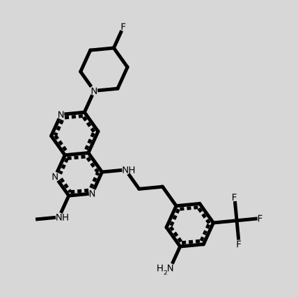 CNc1nc(NCCc2cc(N)cc(C(F)(F)F)c2)c2cc(N3CCC(F)CC3)ncc2n1